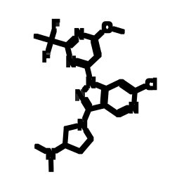 COc1cc(-n2nc(N3CCC(N(C)C)C3)c3cnc(Cl)cc32)nc(C(C)(F)F)n1